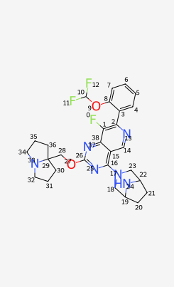 Fc1c(-c2ccccc2OC(F)F)ncc2c(N3CC4CCC(C3)N4)nc(OCC34CCCN3CCC4)nc12